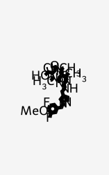 COc1c(F)cc(Cn2cc(CNc3nc(C)c4c(n3)N(C)[C@@H]([C@H](C)O)C(=O)N4C)cn2)cc1F